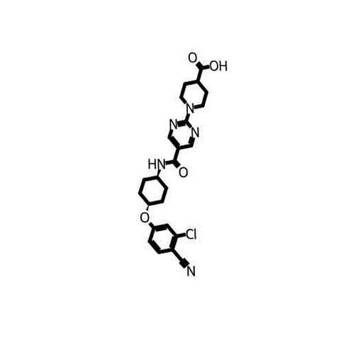 N#Cc1ccc(O[C@H]2CC[C@H](NC(=O)c3cnc(N4CCC(C(=O)O)CC4)nc3)CC2)cc1Cl